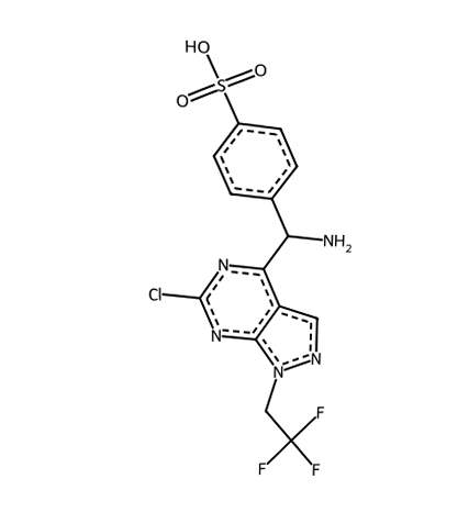 NC(c1ccc(S(=O)(=O)O)cc1)c1nc(Cl)nc2c1cnn2CC(F)(F)F